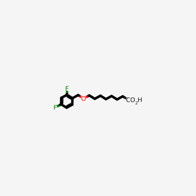 O=C(O)CCCCCCCOCc1ccc(F)cc1F